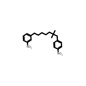 CC(C)([CH]CCCCc1cccc([N+](=O)[O-])c1)Cc1ccc([N+](=O)[O-])cc1